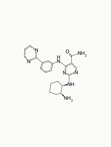 NC(=O)c1cnc(N[C@@H]2CCCC[C@@H]2N)nc1Nc1cccc(-c2ncccn2)c1